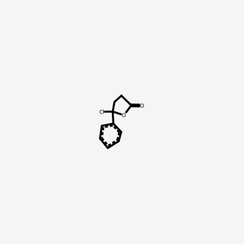 O=C1CCC(Cl)(c2ccccc2)O1